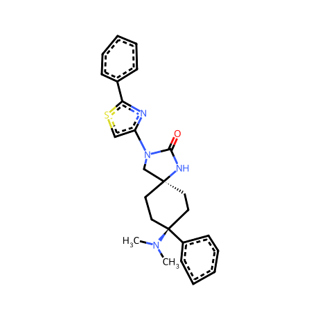 CN(C)[C@]1(c2ccccc2)CC[C@]2(CC1)CN(c1csc(-c3ccccc3)n1)C(=O)N2